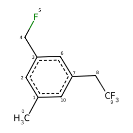 Cc1cc(CF)cc(CC(F)(F)F)c1